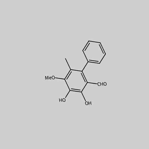 COc1c(C)c(-c2ccccc2)c(C=O)c(O)c1O